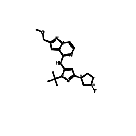 COCc1cc2c(Nc3cc([C@H]4C[CH][C@H](F)C4)nn3C(C)(C)C)nccn2n1